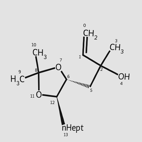 C=CC(C)(O)C[C@H]1OC(C)(C)O[C@@H]1CCCCCCC